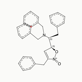 O=[N+]1O[C@H]([C@H](Cc2ccccc2)N(Cc2ccccc2)Cc2ccccc2)C=C1Cc1ccccc1